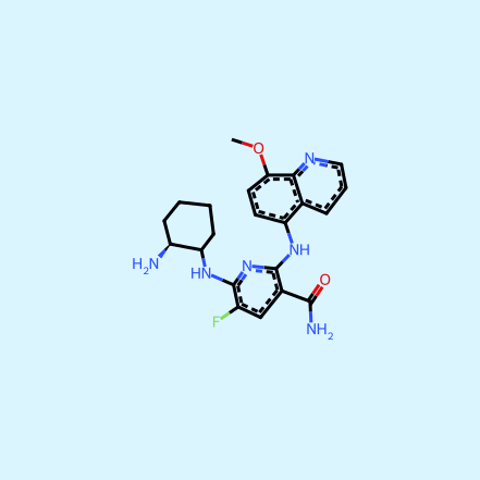 COc1ccc(Nc2nc(NC3CCCC[C@@H]3N)c(F)cc2C(N)=O)c2cccnc12